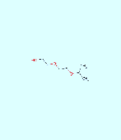 [CH2]C(C)OCCOCCO